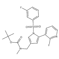 CN(Cc1cc(-c2cccnc2F)n(S(=O)(=O)c2cccc(F)c2)c1)C(=O)OC(C)(C)C